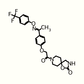 CC(=NOc1ccc(C(F)(F)F)cc1)c1ccc(OCC(=O)N2CCC3(CC2)CNC(=O)O3)cc1